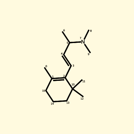 CC1=C(/C=C/C(C)N(C)C)C(C)(C)CCC1